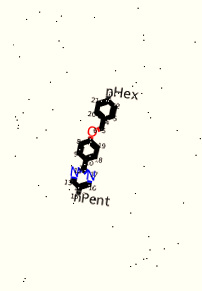 CCCCCCc1ccc(COc2ccc(-c3ncc(CCCCC)cn3)cc2)cc1